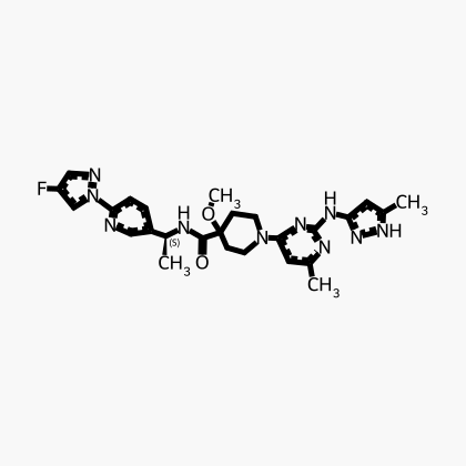 COC1(C(=O)N[C@@H](C)c2ccc(-n3cc(F)cn3)nc2)CCN(c2cc(C)nc(Nc3cc(C)[nH]n3)n2)CC1